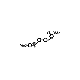 COc1ccc(CN2CCC(c3cccc(CNC(=O)c4ccc(SC)cc4)c3)CC2)cc1Cl